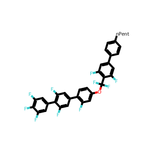 CCCCCc1ccc(-c2cc(F)c(C(F)(F)Oc3ccc(-c4cc(F)c(-c5cc(F)c(F)c(F)c5)c(F)c4)c(F)c3)c(F)c2)cc1